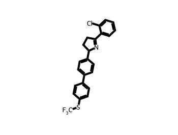 FC(F)(F)Sc1ccc(-c2ccc(C3CCC(c4ccccc4Cl)=N3)cc2)cc1